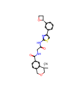 C[C@@]1(C#N)COCc2ccc(C(=O)NCC(=O)Nc3nc(-c4cccc([C@@H]5CCO5)c4)cs3)cc21